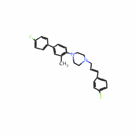 Cc1cc(-c2ccc(F)cc2)ccc1N1CCN(CC=Cc2ccc(F)cc2)CC1